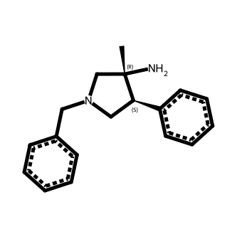 C[C@]1(N)CN(Cc2ccccc2)C[C@@H]1c1ccccc1